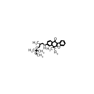 COC(C)(C)OC[C@@H](C)CNc1ccc2c(c1)C(C)(C)c1oc3ccccc3c1C2=O